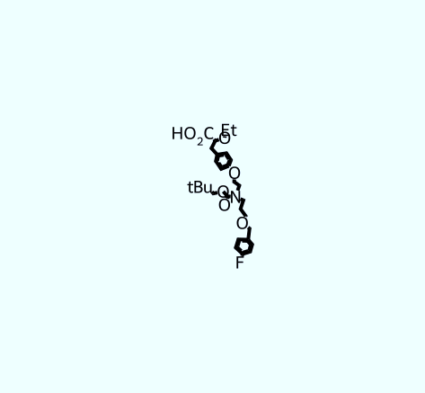 CCOC(Cc1ccc(OCCN(CCCOCc2ccc(F)cc2)C(=O)OCC(C)(C)C)cc1)C(=O)O